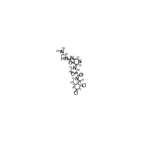 C[C@H]1c2c(Cl)cc(Cl)cc2CCN1C(=O)[C@H]1CN(c2cncc3nc(NCCN(C)C)oc23)CCO1